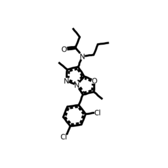 CCCN(C(=O)CC)c1c(C)nn2c(-c3ccc(Cl)cc3Cl)c(C)oc12